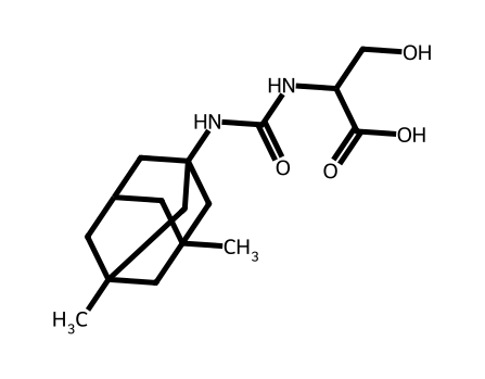 CC12CC3CC(C)(C1)CC(NC(=O)NC(CO)C(=O)O)(C3)C2